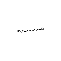 CCC=CCC=CCCCCCCCCCCC(=O)O